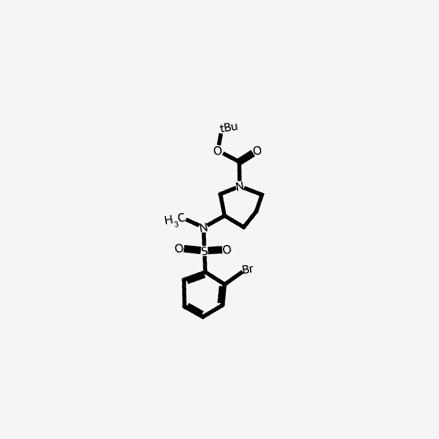 CN(C1CCCN(C(=O)OC(C)(C)C)C1)S(=O)(=O)c1ccccc1Br